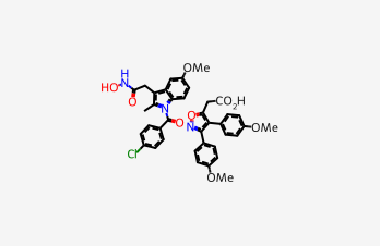 COc1ccc(-c2noc(CC(=O)O)c2-c2ccc(OC)cc2)cc1.COc1ccc2c(c1)c(CC(=O)NO)c(C)n2C(=O)c1ccc(Cl)cc1